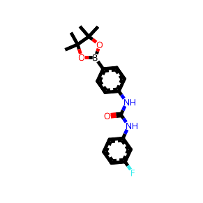 CC1(C)OB(c2ccc(NC(=O)Nc3cccc(F)c3)cc2)OC1(C)C